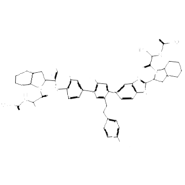 CCC/C=C(/Nc1ccc(-c2cc(CCc3ccc(C)cc3)c(-c3ccc4[nH]c(C5CC6CCCCC6N5C(=O)C(NC(=O)OC)C(C)C)nc4c3)cc2CC)cc1C)C1CC2CCCCC2N1C(=O)C(NC(=O)OC)C(C)C